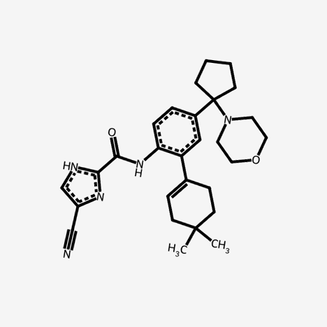 CC1(C)CC=C(c2cc(C3(N4CCOCC4)CCCC3)ccc2NC(=O)c2nc(C#N)c[nH]2)CC1